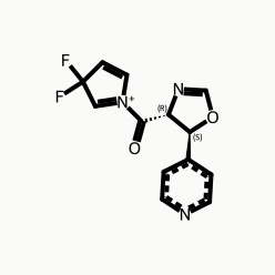 O=C([C@@H]1N=CO[C@H]1c1ccncc1)[N+]1=CC(F)(F)C=C1